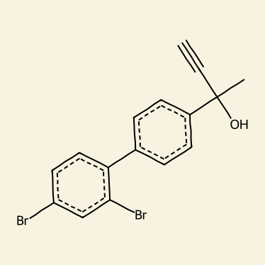 C#CC(C)(O)c1ccc(-c2ccc(Br)cc2Br)cc1